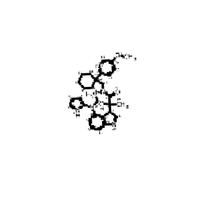 CCN(c1ccc[nH]1)c1cccc2c1C(C(C)(C)C(=O)NCC1(c3ccc(OC)cn3)CCCCC1)C=N2